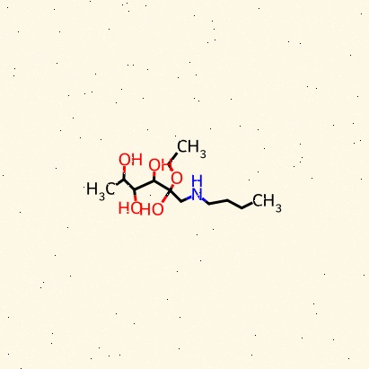 CCCCNCC(O)(OCC)C(O)C(O)C(C)O